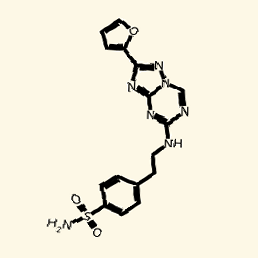 NS(=O)(=O)c1ccc(CCNc2ncn3nc(-c4ccco4)nc3n2)cc1